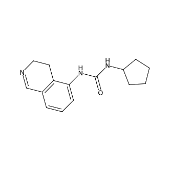 O=C(Nc1cccc2c1CCN=C2)NC1CCCC1